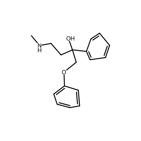 CNCCC(O)(COc1ccccc1)c1ccccc1